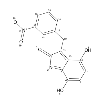 O=C1N=c2c(O)ccc(O)c2=C1Cc1cccc([N+](=O)[O-])c1